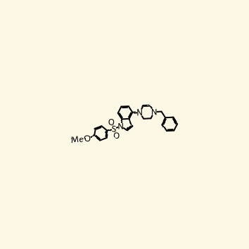 COc1ccc(S(=O)(=O)n2ccc3c(N4CCN(Cc5ccccc5)CC4)cccc32)cc1